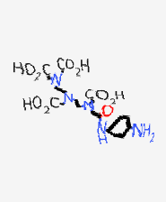 Nc1ccc(NC(=O)CN(CCN(CCN(CC(=O)O)CC(=O)O)CC(=O)O)CC(=O)O)cc1